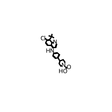 CC(C)(C)c1c(Cl)ccc2c(Nc3ccc(C4CCN(C(=O)O)CC4)cc3)ccnc12